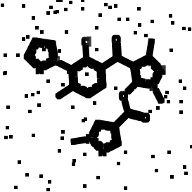 Cc1ccc(C(=O)c2c(C)nn(C)c2OC(=O)c2cnn(C)c2)c(Cl)c1-n1cccn1